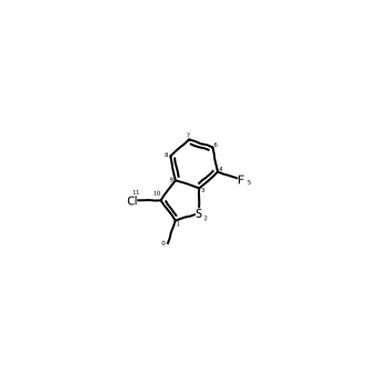 Cc1sc2c(F)cccc2c1Cl